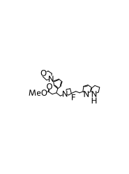 COC(=O)CC(CN1CC[C@@](F)(CCc2ccc3c(n2)NCCC3)C1)c1cccc(N2CCOCC2)c1